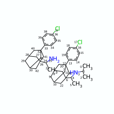 CC(C)NC(C)C12CC3CC(CC(c4ccc(Cl)cc4)(C3)C1)C2.CC(N)C12CC3CC(CC(c4ccc(Cl)cc4)(C3)C1)C2